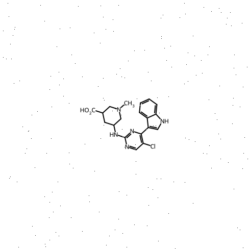 CN1CC(Nc2ncc(Cl)c(-c3c[nH]c4ccccc34)n2)CC(C(=O)O)C1